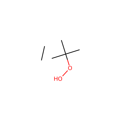 CC.CC(C)(C)OO